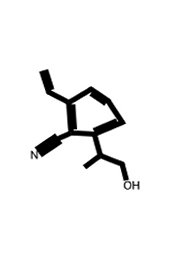 C=Cc1cccc([C](C)CO)c1C#N